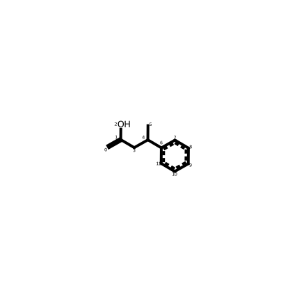 C=C(O)CC(C)c1ccccc1